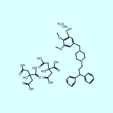 COc1cc(CN2CCN(CCC(c3ccccc3)c3ccccc3)CC2)cc(OC)c1OC.O.O.O=C(O)CC(O)(CC(=O)O)C(=O)O.O=C(O)CC(O)(CC(=O)O)C(=O)O